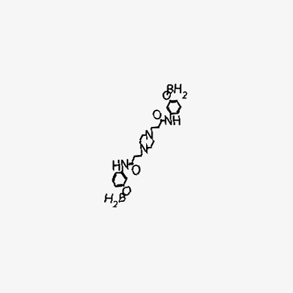 BOc1cccc(NC(=O)CCN2CCN(CCC(=O)Nc3cccc(OB)c3)CC2)c1